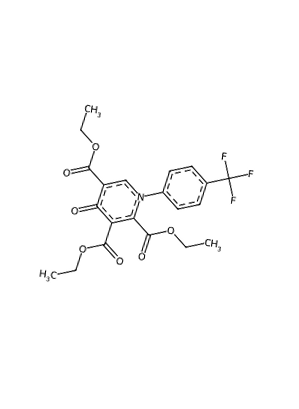 CCOC(=O)c1cn(-c2ccc(C(F)(F)F)cc2)c(C(=O)OCC)c(C(=O)OCC)c1=O